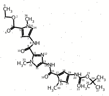 CCOC(=O)c1cc(NC(=O)c2nc(NC(=O)c3cc(NC(=O)OC(C)(C)C)cn3C)cn2C)cn1C